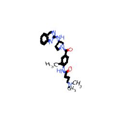 Cc1cc(C(=O)N2CCC(Nc3ncc4ccccc4n3)C2)ccc1NC(=O)/C=C/CN(C)C